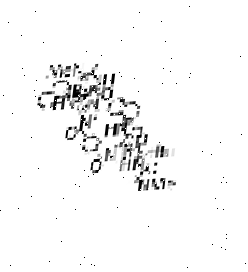 C=C(N[C@H](C(=O)N1CCN(C(=O)c2ccc(C(=O)N3CCN(C(=O)[C@@H](NC(=O)[C@H](C)NC)C(C)(C)C)[C@H](C(=O)N[C@@H]4CCCc5ccccc54)C3)cc2)C[C@H]1C(=O)N[C@@H]1CCCc2ccccc21)C(C)(C)C)[C@H](C)NC